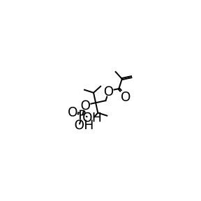 C=C(C)C(=O)OCC(OP(=O)(O)O)(C(C)C)C(C)C